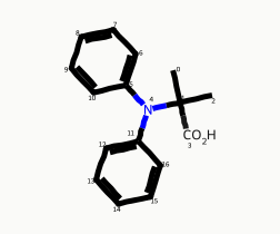 CC(C)(C(=O)O)N(c1ccccc1)c1ccccc1